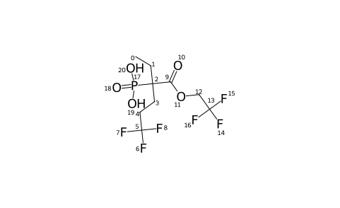 CCC(CCC(F)(F)F)(C(=O)OCC(F)(F)F)P(=O)(O)O